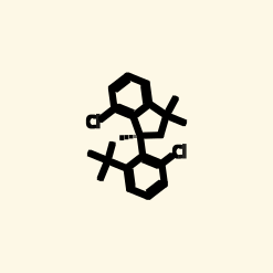 CC(C)(C)c1cccc(Cl)c1[C@]1(C)CC(C)(C)c2cccc(Cl)c21